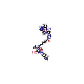 Cc1ccc(NC(=O)c2ccc(CN3CCN(C(=O)CCCCCCCCN[C@H](C(=O)N4CC(O)CC4C(=O)NCc4ccc(-c5scnc5C)cc4)C(C)(C)C)CC3)cc2)cc1Nc1nccc(-c2cccnc2)n1